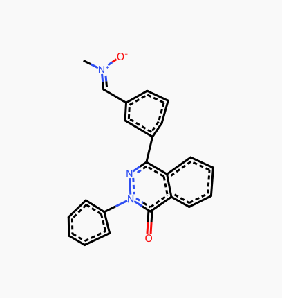 C/[N+]([O-])=C/c1cccc(-c2nn(-c3ccccc3)c(=O)c3ccccc23)c1